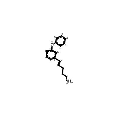 NCCCC=Cc1cccc(Oc2ccccc2)c1